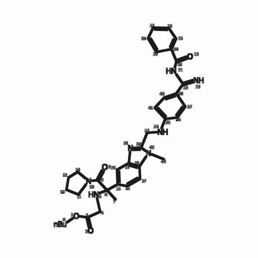 CCCCOC(=O)CNC(C)(C(=O)N1CCCC1)c1ccc2c(c1)nc(CNc1ccc(C(=N)NC(=O)c3ccccc3)cc1)n2C